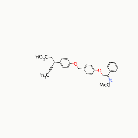 CC#CC(CC(=O)O)c1ccc(OCc2ccc(OC/C(=N\OC)c3ccccc3)cc2)cc1